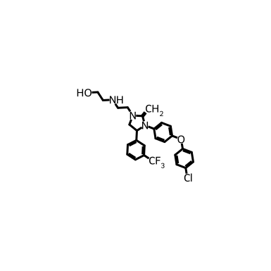 C=C1N(CCNCCO)CC(c2cccc(C(F)(F)F)c2)N1c1ccc(Oc2ccc(Cl)cc2)cc1